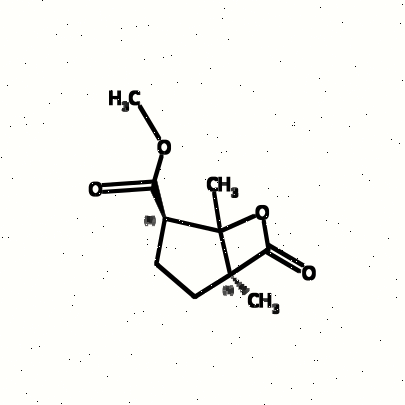 COC(=O)[C@@H]1CC[C@]2(C)C(=O)OC12C